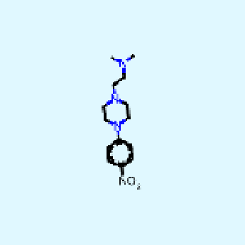 CN(C)CCN1CCN(c2ccc([N+](=O)[O-])cc2)CC1